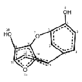 Oc1ccc2cc1Oc1c(O)c3cc-2c1o3